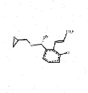 CCC[C@@H](OCC1CO1)c1cccc(Cl)c1/C=C/C(=O)OCC